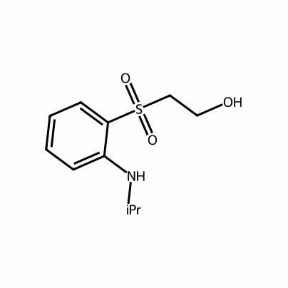 CC(C)Nc1ccccc1S(=O)(=O)CCO